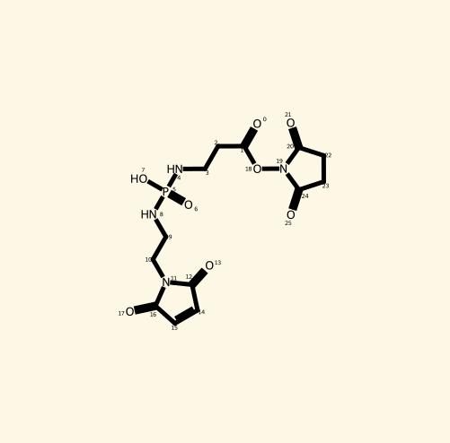 O=C(CCNP(=O)(O)NCCN1C(=O)C=CC1=O)ON1C(=O)CCC1=O